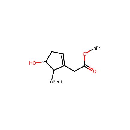 CCCCCC1C(CC(=O)OCCC)=CCC1O